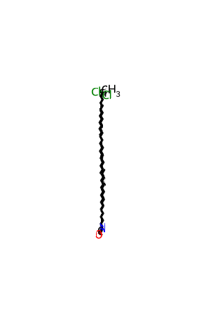 C[Si](Cl)(Cl)CCCCCCCCCCCCCCCCCCCCCCCCCCCCCCCCCCCCCN=C=O